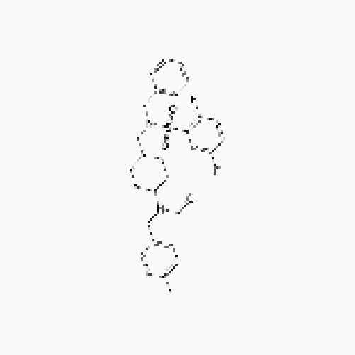 Cc1ccc(CN(C=O)C2CCC(CN(Cc3ccccc3)S(=O)(=O)c3cc(F)ccc3F)CC2)cc1